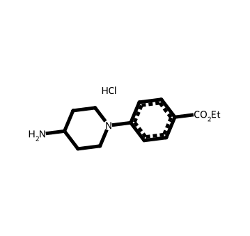 CCOC(=O)c1ccc(N2CCC(N)CC2)cc1.Cl